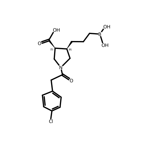 O=C(O)[C@@H]1CN(C(=O)Cc2ccc(Cl)cc2)C[C@@H]1CCCB(O)O